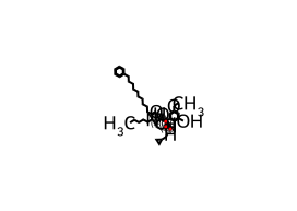 CCCCCN(C(=O)CCCCCCCCCCc1ccccc1)[C@H]1CC[C@H]2[C@H]3Cc4c(O)cc(OC)c5c4[C@@]2(CCN3CC2CC2)[C@H]1O5